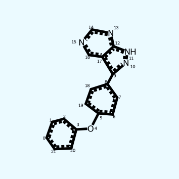 c1ccc(Oc2ccc(-c3n[nH]c4ncncc34)cc2)cc1